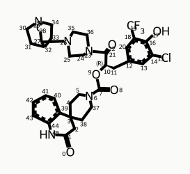 O=C1CC2(CCN(C(=O)O[C@H](Cc3cc(Cl)c(O)c(C(F)(F)F)c3)C(=O)N3CCN(C4CN5CCC4CC5)CC3)CC2)c2ccccc2N1